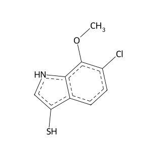 COc1c(Cl)ccc2c(S)c[nH]c12